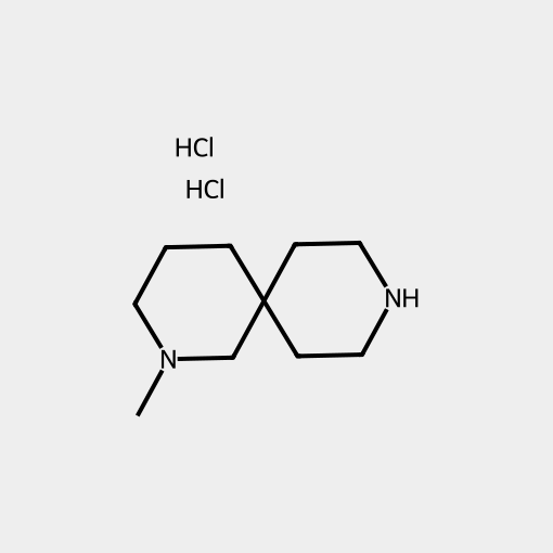 CN1CCCC2(CCNCC2)C1.Cl.Cl